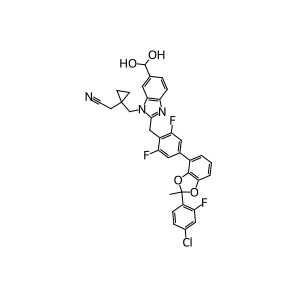 CC1(c2ccc(Cl)cc2F)Oc2cccc(-c3cc(F)c(Cc4nc5ccc(C(O)O)cc5n4CC4(CC#N)CC4)c(F)c3)c2O1